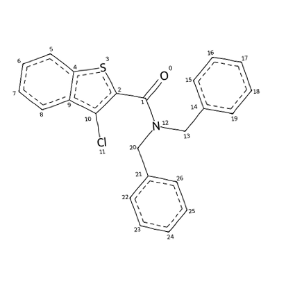 O=C(c1sc2ccccc2c1Cl)N(Cc1ccccc1)Cc1ccccc1